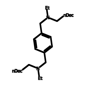 CCCCCCCCCCCN(CC)Cc1ccc(CN(CC)CCCCCCCCCCC)cc1